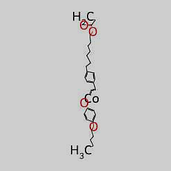 C=CC(=O)OCCCCCCCc1ccc(C=[C]=[Co][O]c2ccc(OCCCCC)cc2)cc1